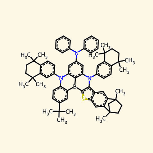 CC(C)(C)c1ccc2c(c1)B1c3sc4cc5c(cc4c3N(c3ccc4c(c3)C(C)(C)CCC4(C)C)c3cc(N(c4ccccc4)c4ccccc4)cc(c31)N2c1ccc2c(c1)C(C)(C)CCC2(C)C)C1(C)CCC5(C)C1